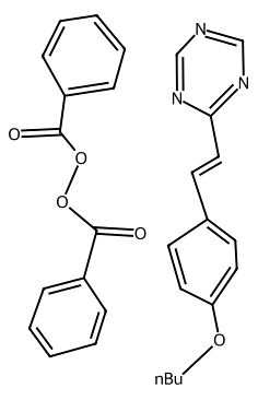 CCCCOc1ccc(C=Cc2ncncn2)cc1.O=C(OOC(=O)c1ccccc1)c1ccccc1